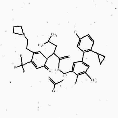 Cc1cc(-c2cc(F)ccc2C2CC2)cc([C@H](CC(=O)O)NC(=O)C(CC(C)C)n2cc(CCN3CCC3)c(C(F)(F)F)cc2=O)c1F